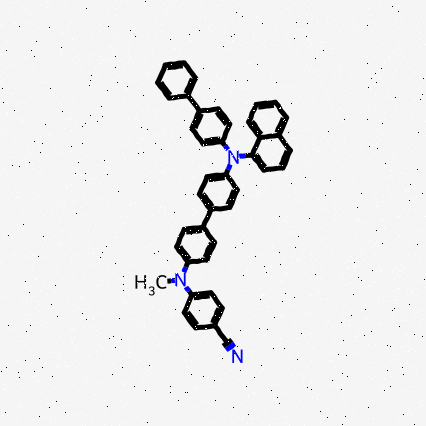 CN(c1ccc(C#N)cc1)c1ccc(-c2ccc(N(c3ccc(-c4ccccc4)cc3)c3cccc4ccccc34)cc2)cc1